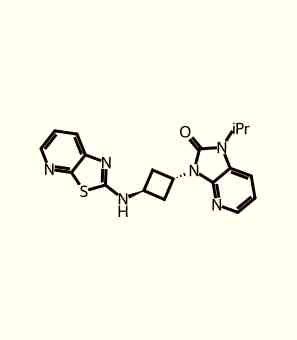 CC(C)n1c(=O)n([C@H]2C[C@H](Nc3nc4cccnc4s3)C2)c2ncccc21